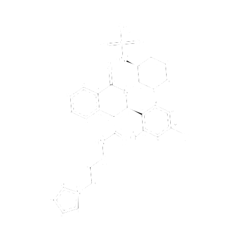 CS(=O)(=O)N[C@H]1CCCC[C@@H]1N1C(=O)c2ccccc2[C@@H](C(=O)NOCCn2cccc2)[C@@H]1c1ccc(Cl)cc1Cl